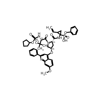 C=CC1CC1(NC(=O)[C@@H]1C[C@@H](Oc2cc(-c3ccccc3)nc3cc(OC)ccc23)CN1C(=O)[C@@H](NC(=O)OC1CCCC1)C(C)(C)C)P(=O)(O)Oc1ccccc1